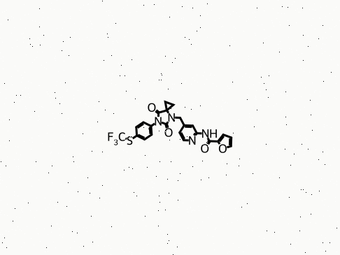 O=C(Nc1cc(CN2C(=O)N(c3ccc(SC(F)(F)F)cc3)C(=O)C23CC3)ccn1)c1ccco1